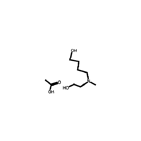 CC(=O)O.CN(CCO)CCCCO